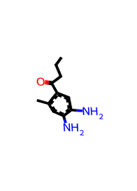 CCCC(=O)c1cc(N)c(N)cc1C